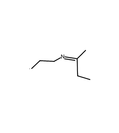 [CH2]CCN=C(C)CC